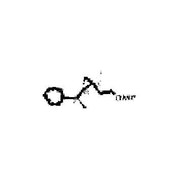 COC=C[C@]1(C)C[C@H]1[C@@H](C)c1ccccc1